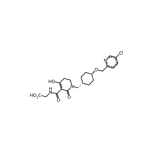 O=C(O)CNC(=O)C1=C(O)CCN(C[C@H]2CC[C@H](OCc3ccc(Cl)cn3)CC2)C1=O